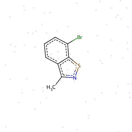 Cc1nsc2c(Br)cccc12